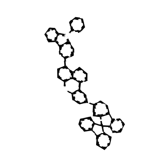 c1ccc(-n2c3ccccc3c3cc(-c4ccc5c6c(cccc46)-c4cc(-c6ccc7c(c6)C6(c8ccccc8-c8ccccc86)c6ccccc6-7)ccc4O5)ccc32)cc1